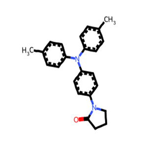 Cc1ccc(N(c2ccc(C)cc2)c2ccc(N3CCCC3=O)cc2)cc1